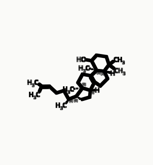 CC(C)=CCC[C@@H](C)[C@H]1CC[C@H]2C3=C(CC[C@]12C)[C@@]1(C)C(O)CCC(C)(C)[C@@H]1CC3